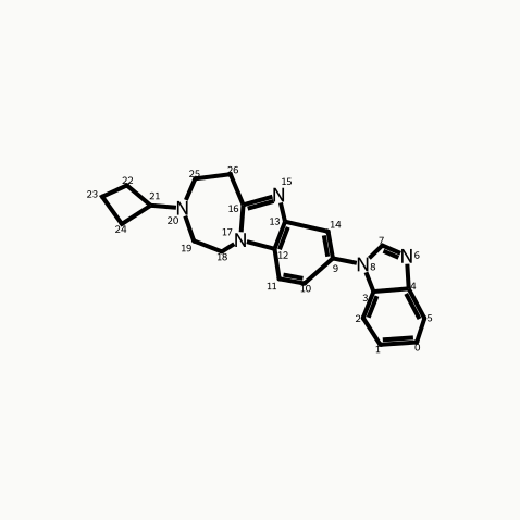 c1ccc2c(c1)ncn2-c1ccc2c(c1)nc1n2CCN(C2CCC2)CC1